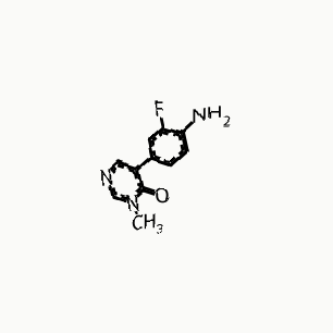 Cn1cncc(-c2ccc(N)c(F)c2)c1=O